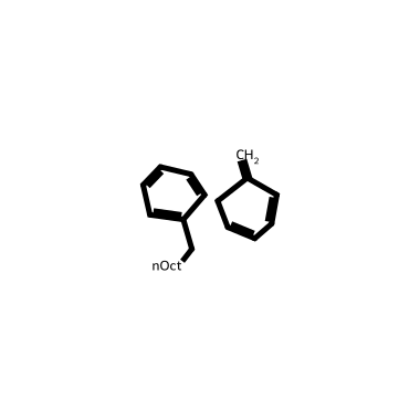 C=C1C=CC=CC1.CCCCCCCCCc1ccccc1